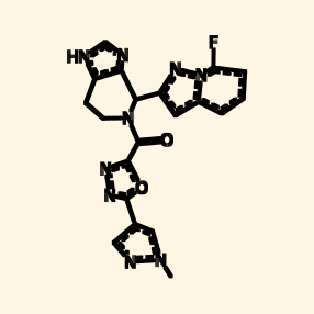 Cn1cc(-c2nnc(C(=O)N3CCc4[nH]cnc4C3c3cc4cccc(F)n4n3)o2)cn1